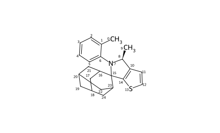 Cc1ccccc1N1[C@@H](C)c2ccsc2C12C1CC3CC(C1)CC2C3